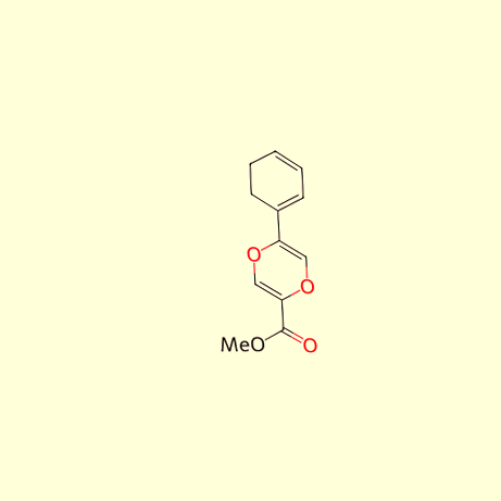 COC(=O)C1=COC(C2=CC=CCC2)=CO1